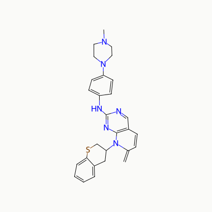 C=C1C=Cc2cnc(Nc3ccc(N4CCN(C)CC4)cc3)nc2N1C1CSc2ccccc2C1